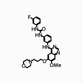 COc1cc2ncnc(Nc3cccc(NC(=O)Nc4cccc(F)c4)c3)c2cc1OCCCN1CCOCC1